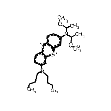 CCCCN(CCCC)c1ccc2nc3ccc(N(C(C)OC)C(C)OC)cc3[s+]c2c1